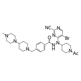 CC(=O)N1CCC(N(NC(=O)c2ccc(CN3CCC(N4CCN(C)CC4)CC3)cc2)c2nc(C#N)ncc2Br)CC1